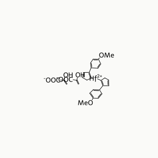 C=C(O)C(=O)[O-].C=C(O)C(=O)[O-].COc1ccc(C2=[C]([Hf+2][C]3=C(c4ccc(OC)cc4)C=CC3)CC=C2)cc1